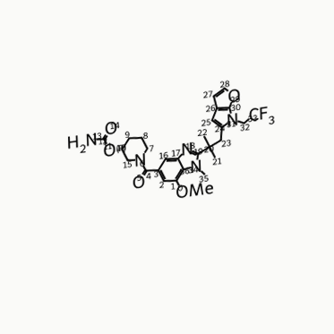 COc1cc(C(=O)N2CCC[C@@H](OC(N)=O)C2)cc2nc(C(C)(C)Cc3cc4ccoc4n3CC(F)(F)F)n(C)c12